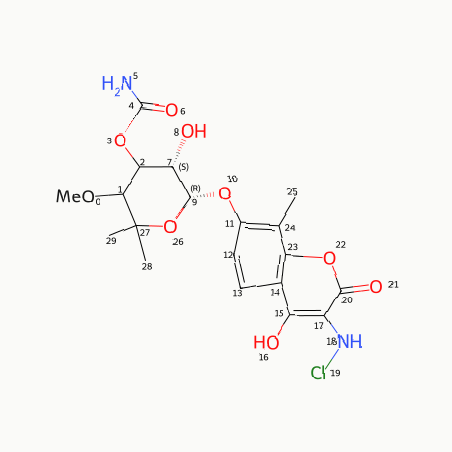 COC1C(OC(N)=O)[C@H](O)[C@H](Oc2ccc3c(O)c(NCl)c(=O)oc3c2C)OC1(C)C